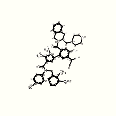 COc1cccc(CN(C(=O)c2cc(-c3cc(C(F)F)c(F)cc3C(=O)N3Cc4ccccc4C[C@H]3CN3CCOCC3)n(C)c2C)c2ccc(C#N)cc2)c1C